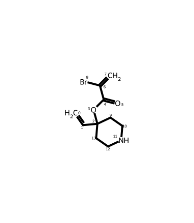 C=CC1(OC(=O)C(=C)Br)CCNCC1